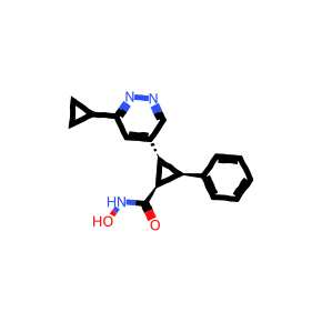 O=C(NO)[C@@H]1[C@H](c2ccccc2)[C@H]1c1cnnc(C2CC2)c1